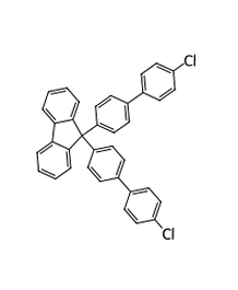 Clc1ccc(-c2ccc(C3(c4ccc(-c5ccc(Cl)cc5)cc4)c4ccccc4-c4ccccc43)cc2)cc1